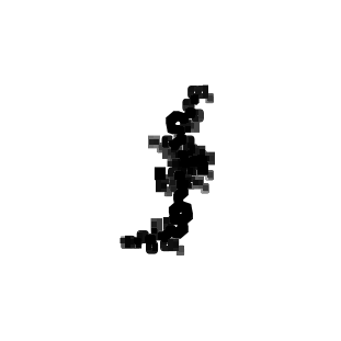 [2H]C([2H])([2H])C([2H])(C)[C@]([2H])(OC(=C)C(C)(C)/C=C/c1ccc2ccc([C@@H](C)NC(=O)OC(C)(C)C)nc2c1)C(=O)N[C@@H](C)C(=O)N1CCC[C@@H](C(=O)OCC(Cl)(Cl)Cl)N1